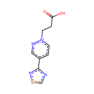 O=C(O)CC[n+]1ccc(-c2ncsn2)cn1